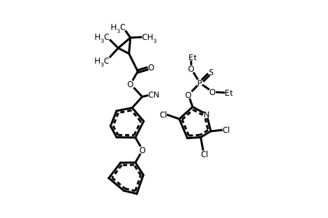 CC1(C)C(C(=O)OC(C#N)c2cccc(Oc3ccccc3)c2)C1(C)C.CCOP(=S)(OCC)Oc1nc(Cl)c(Cl)cc1Cl